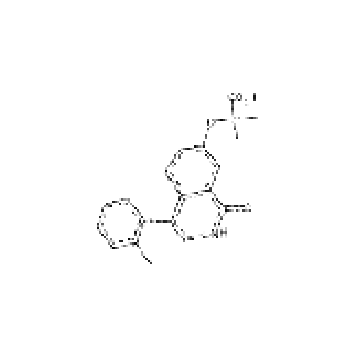 Cc1ccccc1-c1c[nH]c(=O)c2cc(OC(C)(C)C(=O)O)ccc12